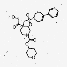 O=C(OC1CCOCC1)N1CCC(CS(=O)(=O)N2CC=C(c3ccccc3)CC2)(C(=O)NO)CC1